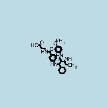 CCC(=N)/C(=C\Nc1ccc(OC)cc1)C(Nc1ccc(C(=O)NCCC(=O)O)cc1)C1CCCCC1